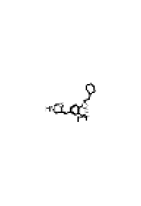 FC(F)(F)c1cc(C=C2CNCS2)ccc1OCCC1CCCCC1